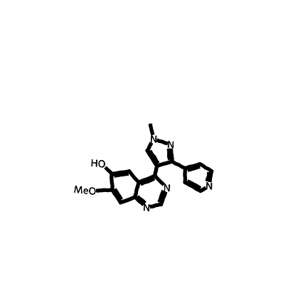 COc1cc2ncnc(-c3cn(C)nc3-c3ccncc3)c2cc1O